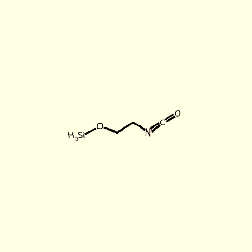 O=C=NCCO[SiH3]